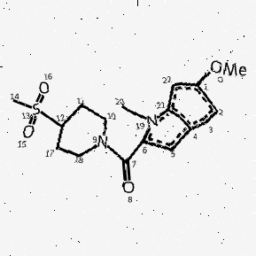 COc1ccc2cc(C(=O)N3CCC(S(C)(=O)=O)CC3)n(C)c2c1